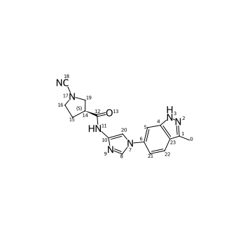 Cc1n[nH]c2cc(-n3cnc(NC(=O)[C@H]4CCN(C#N)C4)c3)ccc12